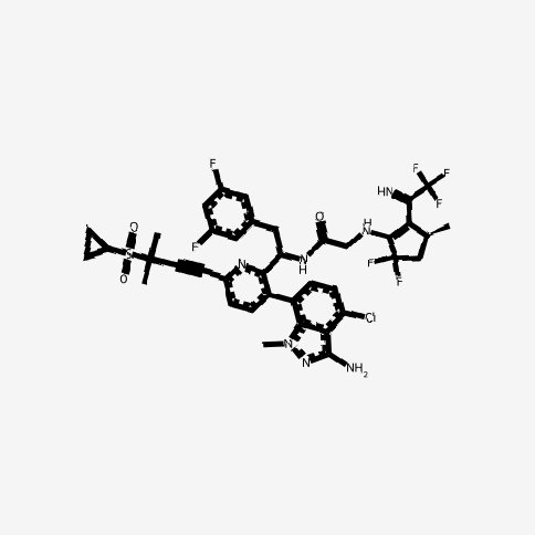 C[C@H]1CC(F)(F)C(NCC(=O)NC(Cc2cc(F)cc(F)c2)c2nc(C#CC(C)(C)S(=O)(=O)C3CC3)ccc2-c2ccc(Cl)c3c(N)nn(C)c23)=C1C(=N)C(F)(F)F